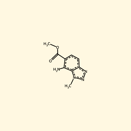 COC(=O)c1ccc2nnn(C)c2c1N